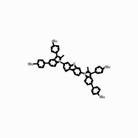 Cc1c(-c2ccc(C(C)(C)C)cc2)c2cc(-c3ccc(C(C)(C)C)cc3)ccc2n1-c1ccc2c(c1)sc1cc(-n3c(C)c(-c4ccc(C(C)(C)C)cc4)c4cc(-c5ccc(C(C)(C)C)cc5)ccc43)ccc12